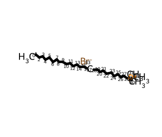 CCCCCCCCCCCCCCCCCCCCCCCCCCCCC[P+](C)(C)C.[Br-]